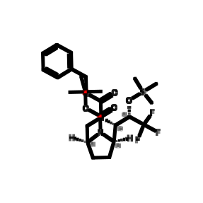 CC(C)(C)OC(=O)N1[C@H]2CC[C@@H]1[C@@H]([C@H](O[Si](C)(C)C)C(F)(F)F)N(C(=O)OCc1ccccc1)C2